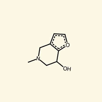 CN1Cc2ccoc2C(O)C1